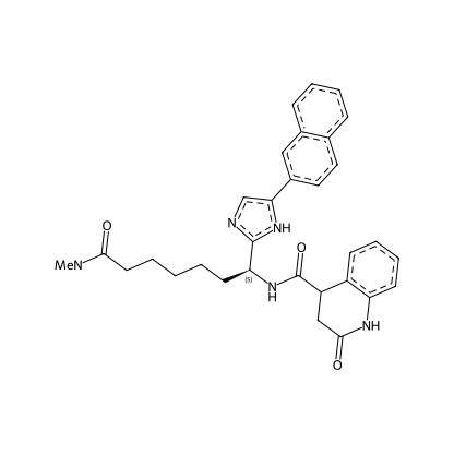 CNC(=O)CCCCC[C@H](NC(=O)C1CC(=O)Nc2ccccc21)c1ncc(-c2ccc3ccccc3c2)[nH]1